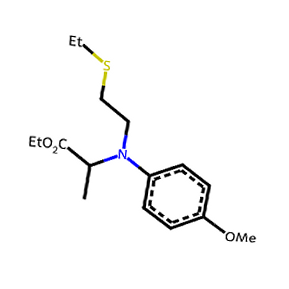 CCOC(=O)C(C)N(CCSCC)c1ccc(OC)cc1